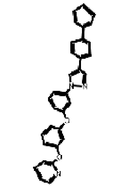 c1ccc(-c2ccc(-c3cnn(-c4cccc(Oc5cccc(Oc6ccccn6)c5)c4)c3)cc2)cc1